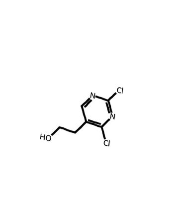 OCCc1cnc(Cl)nc1Cl